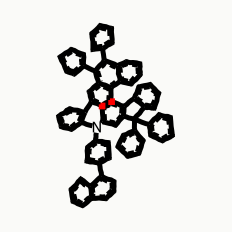 c1ccc(-c2c(-c3ccccc3)c3cc(-c4ccccc4N(c4ccc(-c5cccc6ccccc56)cc4)c4ccc5c(c4)C(c4ccccc4)(c4ccccc4)c4ccccc4-5)ccc3c3ccccc23)cc1